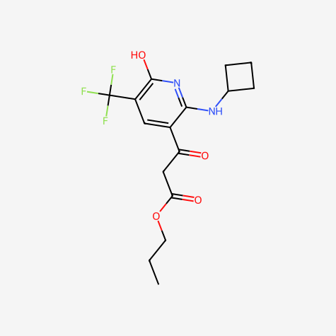 CCCOC(=O)CC(=O)c1cc(C(F)(F)F)c(O)nc1NC1CCC1